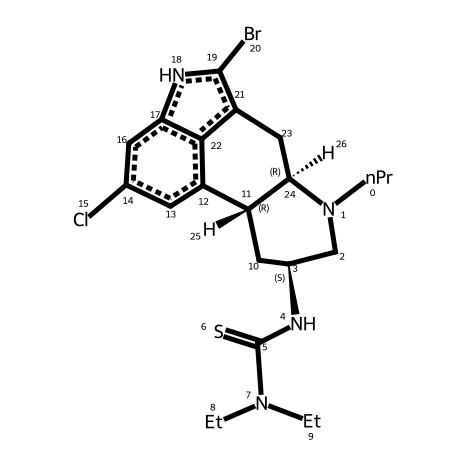 CCCN1C[C@@H](NC(=S)N(CC)CC)C[C@@H]2c3cc(Cl)cc4[nH]c(Br)c(c34)C[C@H]21